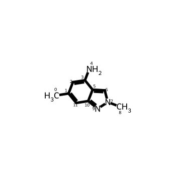 Cc1cc(N)c2cn(C)nc2c1